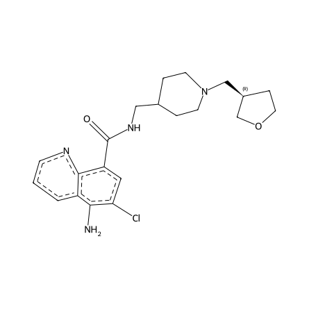 Nc1c(Cl)cc(C(=O)NCC2CCN(C[C@H]3CCOC3)CC2)c2ncccc12